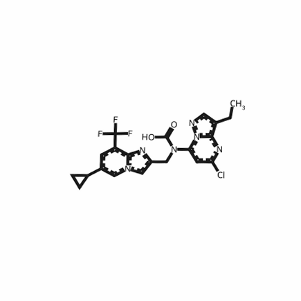 CCc1cnn2c(N(Cc3cn4cc(C5CC5)cc(C(F)(F)F)c4n3)C(=O)O)cc(Cl)nc12